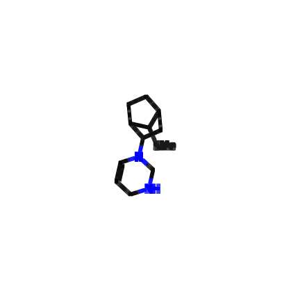 CSC1C2CCC1C(N1C=CCNC1)C2